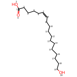 O=C(O)CCCC/C=C\CCCCCCCCCCCO